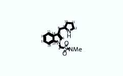 CNS(=O)(=O)Cn1cc(CC2CCCN2)c2ccccc21